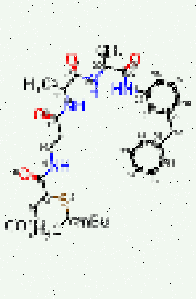 CCCCC(C)SC(CC(=O)O)C(=O)NCCC(=O)N[C@@H](C)C(=O)N[C@@H](C)C(=O)Nc1cccc(Cc2ccccc2)c1